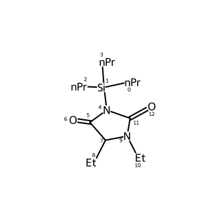 CCC[Si](CCC)(CCC)N1C(=O)C(CC)N(CC)C1=O